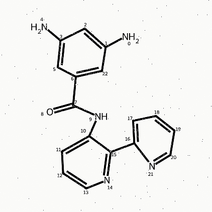 Nc1cc(N)cc(C(=O)Nc2cccnc2-c2ccccn2)c1